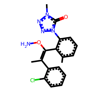 C/C(=C(\ON)c1c(C)cccc1-n1nnn(C)c1=O)c1ccccc1Cl